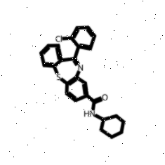 O=C(NC1CCCCC1)c1ccc2c(c1)N=C(c1ccccc1Cl)c1ccccc1S2